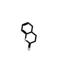 O=C1CCC2CC=CC=C2S1